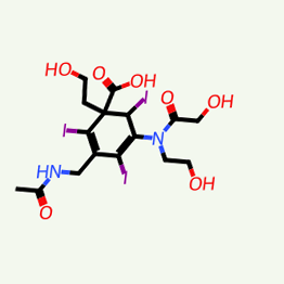 CC(=O)NCC1=C(I)C(CCO)(C(=O)O)C(I)C(N(CCO)C(=O)CO)=C1I